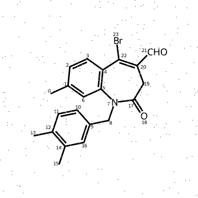 Cc1ccc2c(c1)N(Cc1ccc(C)c(C)c1)C(=O)CC(C=O)=C2Br